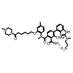 COc1c(-c2cccc3[nH]c(N(C)CCN)nc23)ccc(C(=O)N(C)c2ccc(C)cc2OCCCCCC(=O)N2CCN(C)CC2)c1C(N)=O